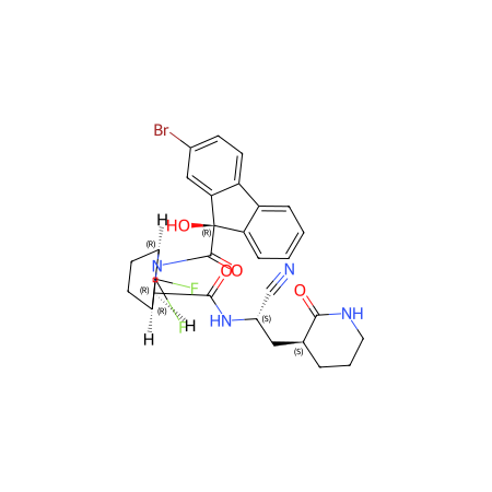 N#C[C@H](C[C@@H]1CCCNC1=O)NC(=O)[C@H]1[C@H]2CC[C@H](CC2(F)F)N1C(=O)[C@@]1(O)c2ccccc2-c2ccc(Br)cc21